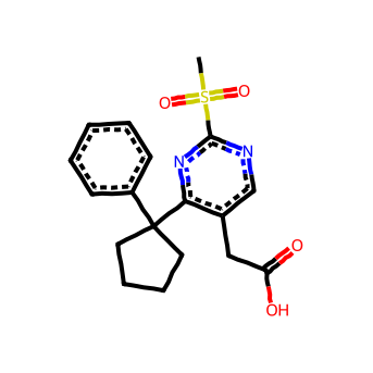 CS(=O)(=O)c1ncc(CC(=O)O)c(C2(c3ccccc3)CCCC2)n1